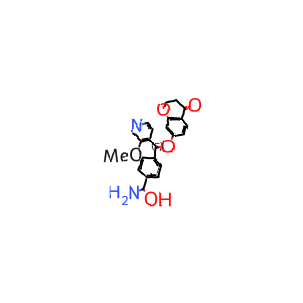 COc1cnccc1[C@@H](Oc1ccc2c(c1)OCCC2=O)c1ccc(C(N)O)cc1